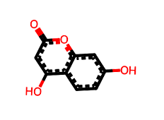 O=c1cc(O)c2ccc(O)cc2o1